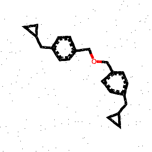 c1cc(CC2CC2)ccc1COCc1ccc(CC2CC2)cc1